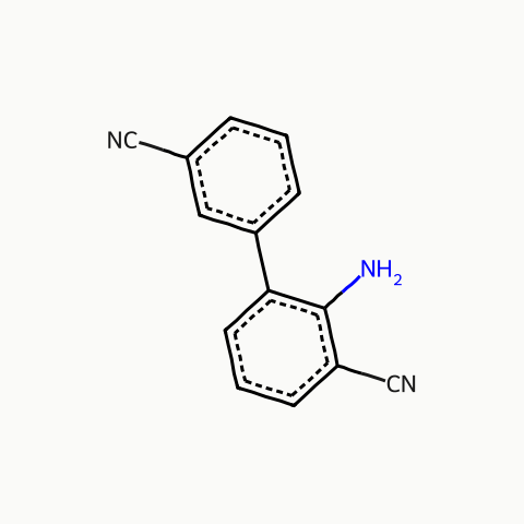 N#Cc1cccc(-c2cccc(C#N)c2N)c1